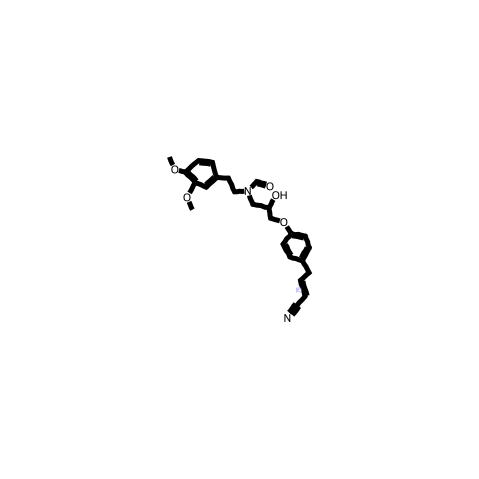 COc1ccc(CCN(C=O)CC(O)COc2ccc(C/C=C/C#N)cc2)cc1OC